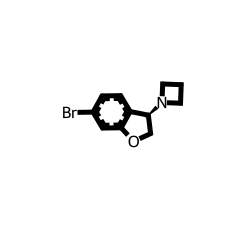 Brc1ccc2c(c1)OC[C@@H]2N1CCC1